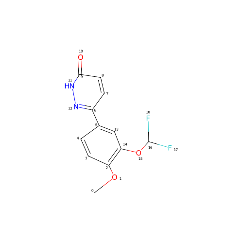 COc1ccc(-c2ccc(=O)[nH]n2)cc1OC(F)F